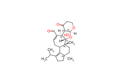 CC(C)C1=C2C3CC=C(C=O)[C@@H]4[C@H](O[C@@H]5OCCC(=O)[C@@]54O)[C@]3(C)CC[C@@]2(C)CC1